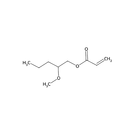 C=CC(=O)OCC(CCC)OC